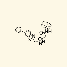 O=C(Cc1nnc(Cc2nc3ccc(-c4ccccc4)cc3s2)o1)NC12CC3CC(CC(C3)C1)C2